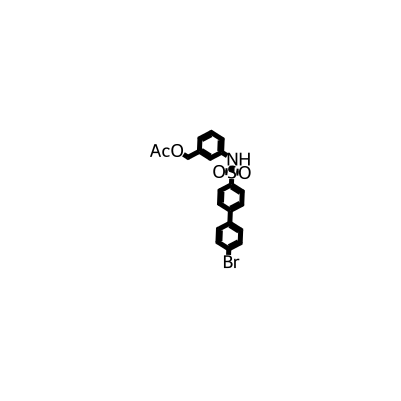 CC(=O)OCc1cccc(NS(=O)(=O)c2ccc(-c3ccc(Br)cc3)cc2)c1